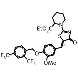 CCOC(=O)C1CCCCN1C1=NC(=O)/C(=C/c2ccc(OCc3ccc(C(F)(F)F)cc3C(F)(F)F)c(OC)c2)S1